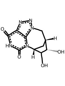 O=c1[nH]c(=O)n2c3c1nnn3C[C@H]1C[C@@H]2C(O)[C@H]1O